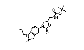 CCCN1C(=O)Cc2cc(N3CC(CNC(=O)OC(C)(C)C)OC3=O)ccc21